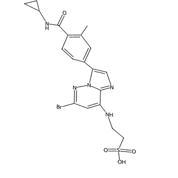 Cc1cc(-c2cnc3c(NCCS(=O)(=O)O)cc(Br)nn23)ccc1C(=O)NC1CC1